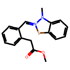 COC(=O)Cc1ccccc1C=[N+]1Sc2ccccc2N1C